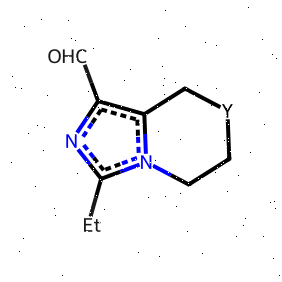 CCc1nc(C=O)c2n1C[CH2][Y][CH2]2